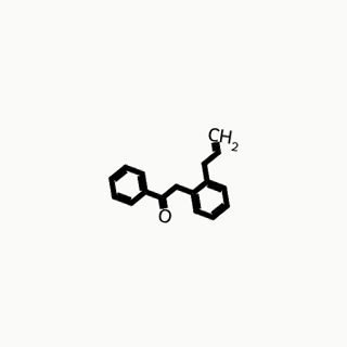 C=CCc1ccccc1CC(=O)c1ccccc1